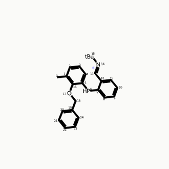 Cc1cccc(Pc2ccccc2/C=N/C(C)(C)C)c1OCc1ccccc1